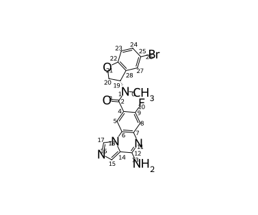 CN(C(=O)c1cc2c(cc1F)nc(N)c1cncn12)[C@@H]1COc2ccc(Br)cc21